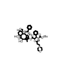 CC1=C2[C@@H](O)C(=O)[C@@]3(C)C([C@H](OC(=O)c4ccccc4)[C@](O)(C[C@@H]1OC(=O)[C@H](OC(=O)CCN1CCOCC1)[C@@H](NC(=O)OC(C)(C)C)c1ccccc1)C2(C)C)[C@]1(O)CO[C@@H]1C[C@@H]3O